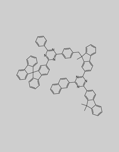 CC1(C)c2ccccc2-c2ccc(-c3nc(-c4ccc5c(c4)C(C)(Cc4ccc(-c6nc(-c7ccccc7)nc(-c7ccc8c(c7)C7(c9ccccc9-c9ccccc97)c7ccccc7-8)n6)cc4)c4ccccc4-5)nc(-c4ccc5ccccc5c4)n3)cc21